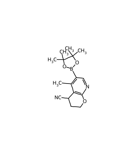 Cc1c(B2OC(C)(C)C(C)(C)O2)cnc2c1C(C#N)CCO2